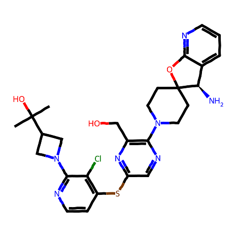 CC(C)(O)C1CN(c2nccc(Sc3cnc(N4CCC5(CC4)Oc4ncccc4[C@H]5N)c(CO)n3)c2Cl)C1